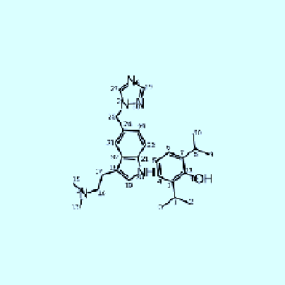 CC(C)c1cccc(C(C)C)c1O.CN(C)CCc1c[nH]c2ccc(Cn3cncn3)cc12